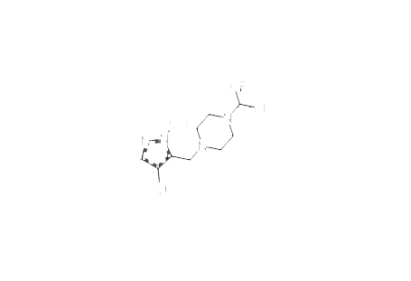 Cn1ncc(Br)c1CN1CCN(C(C(F)(F)F)C(F)(F)F)CC1